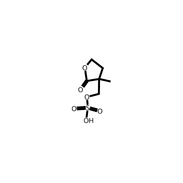 CC1(COS(=O)(=O)O)CCOC1=O